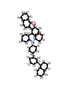 c1ccc(N(c2ccc(-c3cccc(-c4cccc5ccccc45)c3)cc2)c2ccccc2-c2cccc3oc4c5ccccc5ccc4c23)cc1